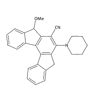 COC1c2ccccc2-c2c3c(c(N4CCCCC4)c(C#N)c21)Cc1ccccc1-3